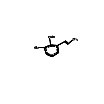 CC=Cc1cccc(C(C)(C)C)c1OC